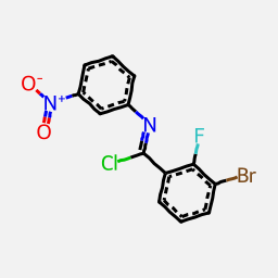 O=[N+]([O-])c1cccc(/N=C(\Cl)c2cccc(Br)c2F)c1